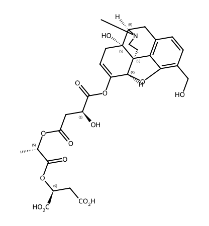 C[C@H](OC(=O)C[C@H](O)C(=O)OC1=CC[C@@]2(O)[C@H]3Cc4ccc(CO)c5c4[C@@]2(CCN3C)[C@H]1O5)C(=O)O[C@@H](CC(=O)O)C(=O)O